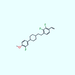 C=Cc1ccc(CCC2CCC(c3ccc(OC)c(F)c3)CC2)c(F)c1F